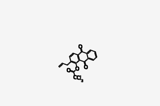 C=CCc1ccc2c(c1OC(=O)C(Cl)(Cl)Cl)C(=O)c1ccccc1C2=O